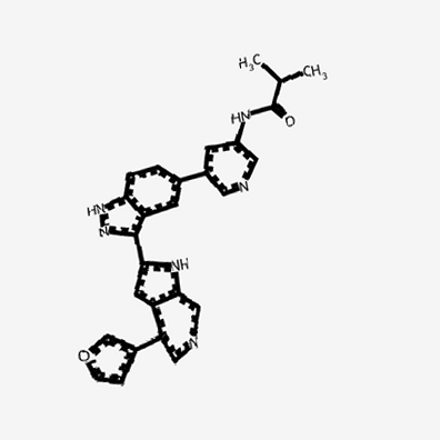 CC(C)C(=O)Nc1cncc(-c2ccc3[nH]nc(-c4cc5c(-c6ccoc6)cncc5[nH]4)c3c2)c1